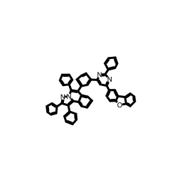 c1ccc(-c2nc(-c3cccc(-c4c(-c5ccccc5)n5nc(-c6ccccc6)c(-c6ccccc6)c5c5ccccc45)c3)cc(-c3ccc4oc5ccccc5c4c3)n2)cc1